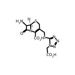 NC1C(=O)N2C(C(=O)O)=C(CSc3nnnn3CC(=O)O)CS[C@H]12